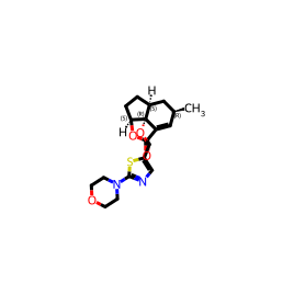 C[C@H]1C=C2C(=O)O[C@H]3CC[C@@H](C1)[C@@]23OCc1cnc(N2CCOCC2)s1